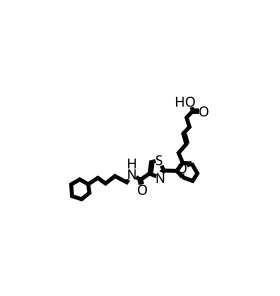 O=C(O)CCC=CCC1C2CCC(O2)C1c1nc(C(=O)NCCCCC2CCCCC2)cs1